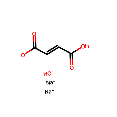 O=C([O-])C=CC(=O)O.[Na+].[Na+].[OH-]